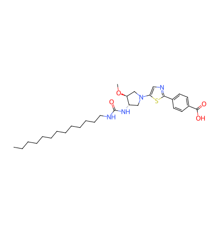 CCCCCCCCCCCCCNC(=O)N[C@H]1CN(c2cnc(-c3ccc(C(=O)O)cc3)s2)C[C@@H]1OC